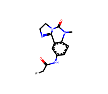 CC(C)CC(=O)Nc1ccc2c(c1)C1=NCCN1C(=O)N2C